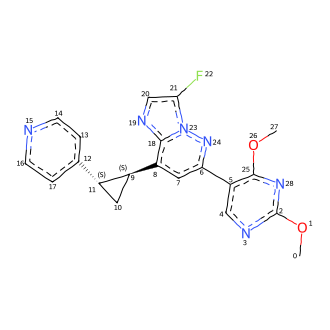 COc1ncc(-c2cc([C@H]3C[C@@H]3c3ccncc3)c3ncc(F)n3n2)c(OC)n1